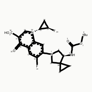 CC(C)(C)OC(=O)N[C@@H]1CN(c2cc3c(cc2F)c(=O)c(C(=O)O)cn3[C@@H]2C[C@H]2F)CC12CC2